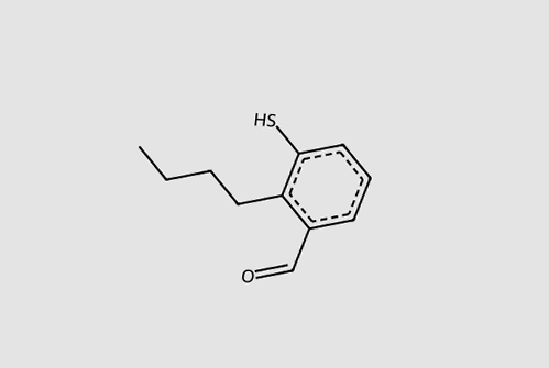 CCCCc1c(S)cccc1C=O